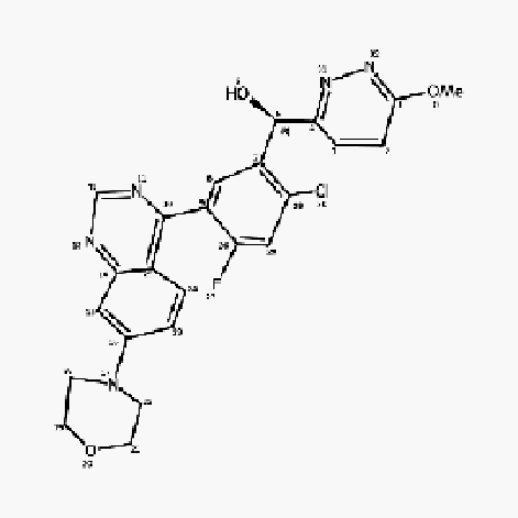 COc1ccc([C@H](O)c2cc(-c3ncnc4cc(N5CCOCC5)ccc34)c(F)cc2Cl)nn1